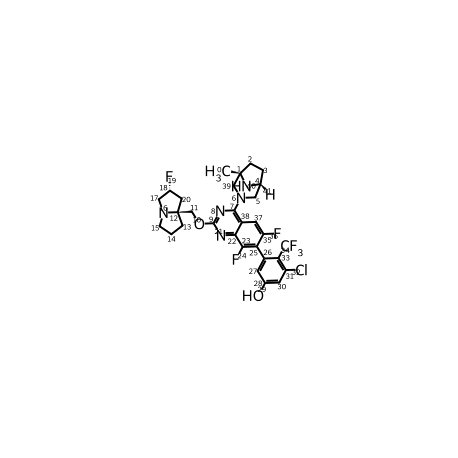 C[C@]12CC[C@H](CN(c3nc(OC[C@@]45CCCN4C[C@H](F)C5)nc4c(F)c(-c5cc(O)cc(Cl)c5C(F)(F)F)c(F)cc34)C1)N2